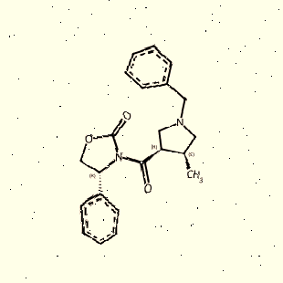 C[C@@H]1CN(Cc2ccccc2)C[C@@H]1C(=O)N1C(=O)OC[C@H]1c1ccccc1